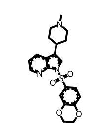 CN1CCC(c2cn(S(=O)(=O)c3ccc4c(c3)OCCO4)c3ncccc23)CC1